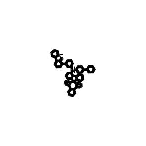 c1ccc(-c2ccc(N(c3cccc(-c4cccc5c4sc4ccccc45)c3)c3cccc4c3-c3ccccc3C43c4ccccc4-c4ccccc4-c4ccccc43)cc2)cc1